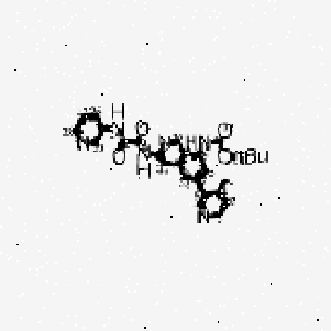 Cc1ccncc1-c1cc(NC(=O)OC(C)(C)C)c2cnc(NC(=O)C(=O)Nc3cccnc3)cc2c1